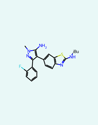 CC[C@H](C)Nc1nc2ccc(-c3c(-c4ccccc4F)nn(C)c3N)cc2s1